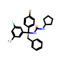 O=C(NC1CCCC1)N[C@@](Cc1ccccc1)(c1ccc(Br)cc1)c1cc(F)cc(C(F)(F)F)c1